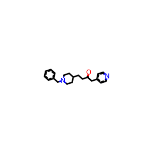 O=C(CCC1CCN(Cc2ccccc2)CC1)Cc1ccncc1